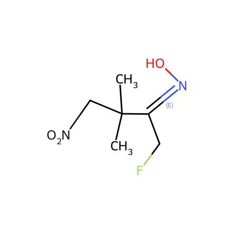 CC(C)(C[N+](=O)[O-])/C(CF)=N\O